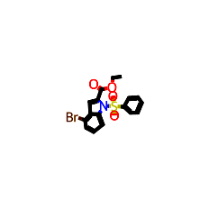 CCOC(=O)c1cc2c(Br)cccc2n1S(=O)(=O)c1ccccc1